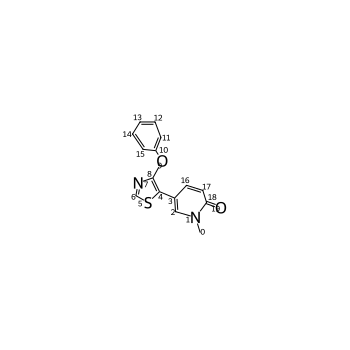 Cn1cc(-c2scnc2Oc2ccccc2)ccc1=O